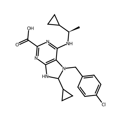 C[C@@H](Nc1nc(C(=O)O)nc2c1N(Cc1ccc(Cl)cc1)C(C1CC1)N2)C1CC1